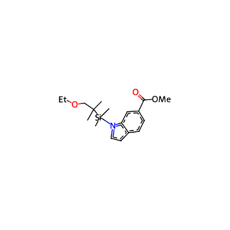 CCOCC(C)(C)[Si](C)(C)n1ccc2ccc(C(=O)OC)cc21